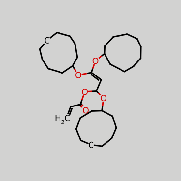 C=CC(=O)OC(C=C(OC1CCCCCCCCC1)OC1CCCCCCCCC1)OC1CCCCCCCCC1